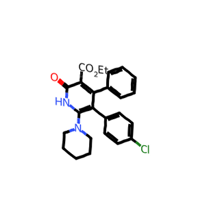 CCOC(=O)c1c(-c2ccccc2)c(-c2ccc(Cl)cc2)c(N2CCCCC2)[nH]c1=O